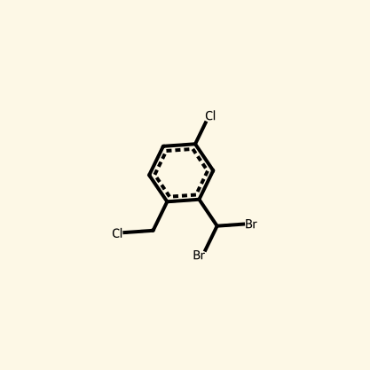 ClCc1ccc(Cl)cc1C(Br)Br